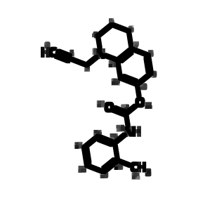 C#CCN1CCCc2ccc(OC(=O)Nc3ccccc3C)cc21